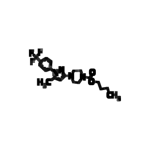 CCCCOC(=O)N1CCN(c2cc(C)n(-c3ccc(C(F)(F)F)cc3)n2)CC1